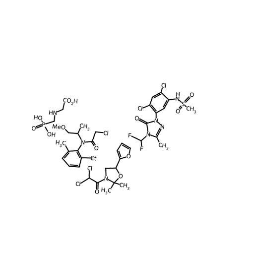 CC1(C)OC(c2ccco2)CN1C(=O)C(Cl)Cl.CCc1cccc(C)c1N(C(=O)CCl)C(C)COC.Cc1nn(-c2cc(NS(C)(=O)=O)c(Cl)cc2Cl)c(=O)n1C(F)F.O=C(O)CNCP(=O)(O)O